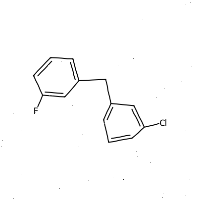 Fc1cccc(Cc2cccc(Cl)c2)c1